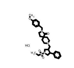 CCS(=O)(=O)N1CC(CN2CCC3(CC2)CCN(Cc2ccc(OC)cc2)C3=O)C(c2ccccc2)C1.Cl